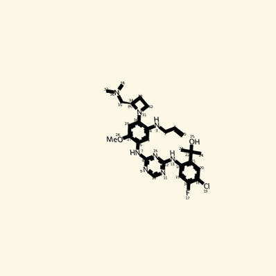 C=CCNc1cc(Nc2ncnc(Nc3cc(F)c(Cl)cc3C(C)(C)O)n2)c(OC)cc1N1CC[C@@H]1CN(C)C